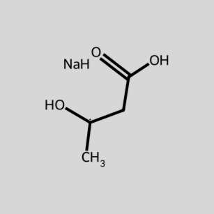 C[C](O)CC(=O)O.[NaH]